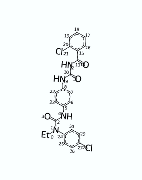 CCN(C(=O)Nc1ccc(NC(=O)NC(=O)c2ccccc2Cl)cc1)c1ccc(Cl)cc1